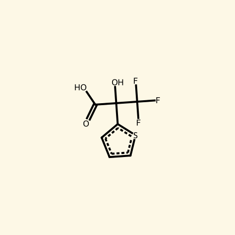 O=C(O)C(O)(c1cccs1)C(F)(F)F